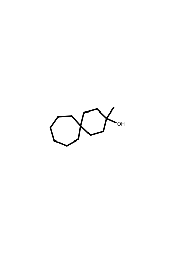 CC1(O)CCC2(CCCCCC2)CC1